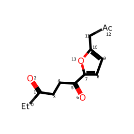 CCC(=O)CCC(=O)c1ccc(CC(C)=O)o1